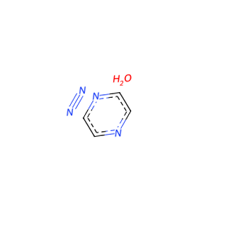 N#N.O.c1cnccn1